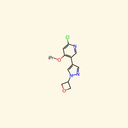 CC(C)Oc1cc(Cl)ncc1-c1cnn(C2COC2)c1